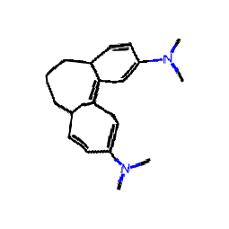 CN(C)C1=CC2=C3C=C(N(C)C)C=CC3CCCC2C=C1